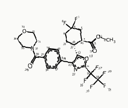 COC(=O)[C@@H]1CC(F)(F)CC[C@H]1c1oc(C(F)(F)C(F)(F)F)nc1-c1ccc(C(=O)N2CCOCC2)cc1